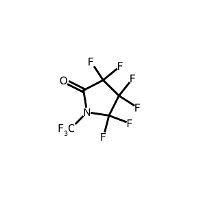 O=C1N(C(F)(F)F)C(F)(F)C(F)(F)C1(F)F